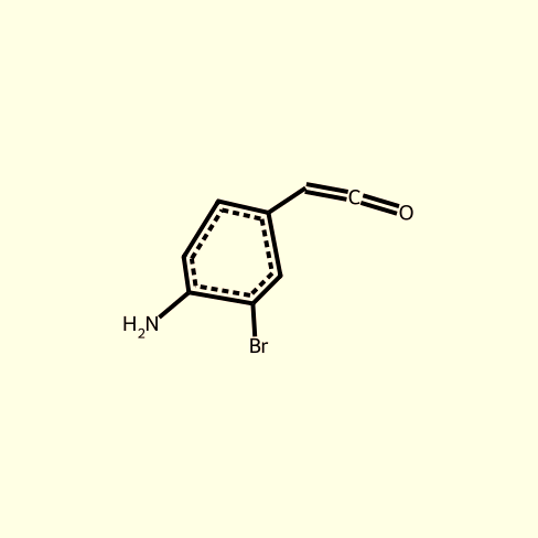 Nc1ccc(C=C=O)cc1Br